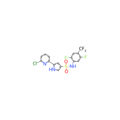 O=S(=O)(Nc1cc(F)c(C(F)(F)F)cc1F)c1c[nH]c(-c2cccc(Cl)n2)c1